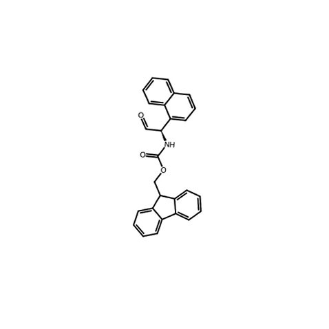 O=C[C@H](NC(=O)OCC1c2ccccc2-c2ccccc21)c1cccc2ccccc12